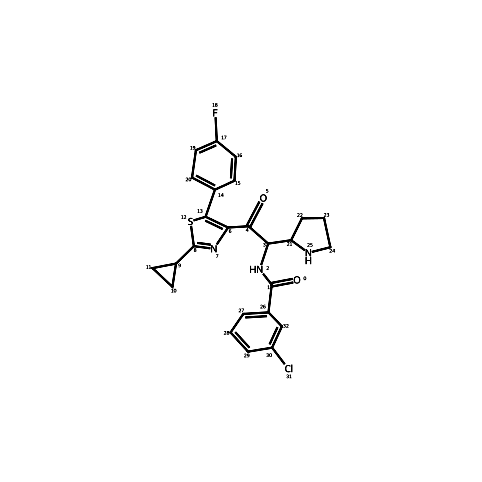 O=C(NC(C(=O)c1nc(C2CC2)sc1-c1ccc(F)cc1)C1CCCN1)c1cccc(Cl)c1